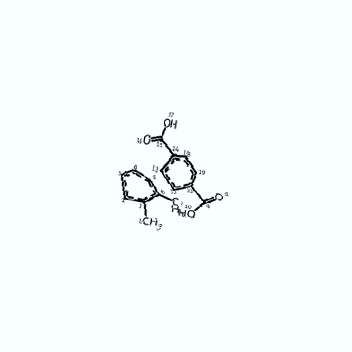 Cc1ccccc1C.O=C(O)c1ccc(C(=O)O)cc1